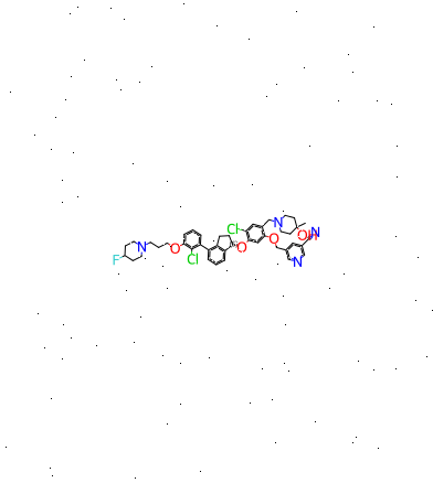 CC1(O)CCN(Cc2cc(Cl)c(O[C@H]3CCc4c(-c5cccc(OCCCN6CCC(F)CC6)c5Cl)cccc43)cc2OCc2cncc(C#N)c2)CC1